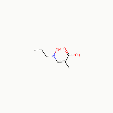 CCCN(O)C=C(C)C(=O)O